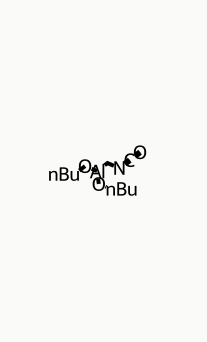 CCCC[O][Al]([CH2]N=C=O)[O]CCCC